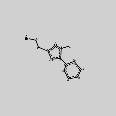 Cc1oc(CCBr)nc1-c1ccccc1